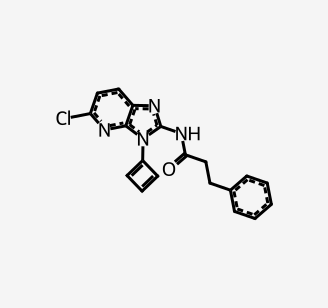 O=C(CCc1ccccc1)Nc1nc2ccc(Cl)nc2n1C1=CC=C1